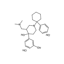 CN(C)CC1CN(C2(c3ccccc3)CCCCC2)CCC1(O)c1cccc(O)c1.Cl.Cl